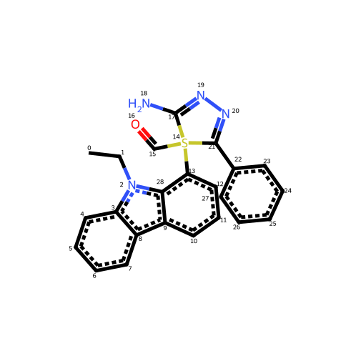 CCn1c2ccccc2c2cccc(S3(C=O)C(N)=NN=C3c3ccccc3)c21